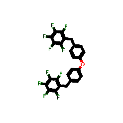 Fc1c(F)c(F)c(Cc2ccc(Oc3ccc(Cc4c(F)c(F)c(F)c(F)c4F)cc3)cc2)c(F)c1F